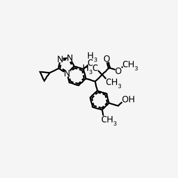 COC(=O)C(C)(C)C(c1ccc(C)c(CO)c1)c1ccn2c(C3CC3)nnc2c1C